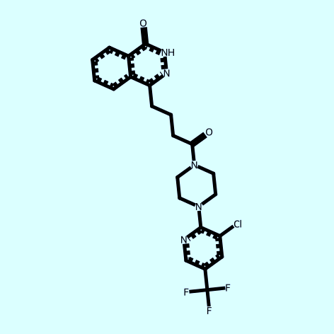 O=C(CCCc1n[nH]c(=O)c2ccccc12)N1CCN(c2ncc(C(F)(F)F)cc2Cl)CC1